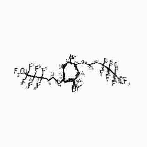 FC(F)(F)C(F)(F)C(F)(F)C(F)(F)CCSc1cc(Br)c(SCCC(F)(F)C(F)(F)C(F)(F)C(F)(F)F)cc1Br